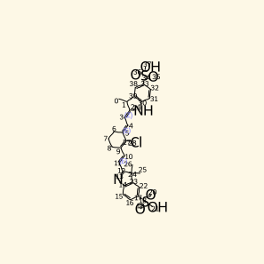 CC1/C(=C/C=C2\CCCC(/C=C/C3=Nc4ccc(S(=O)(=O)O)cc4C3(C)C)=C2Cl)Nc2ccc(S(=O)(=O)O)cc21